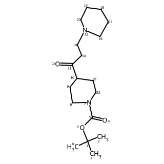 CC(C)(C)OC(=O)N1CCC(C(=O)CCN2C[CH]CCC2)CC1